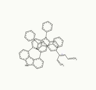 C=C/C=C(\C=C)c1ccc2c(c1)c1cc(-c3cccc4[nH]c5cccc(-c6cc(-c7ccccc7)nc(-c7ccccc7)n6)c5c34)ccc1n2-c1ccccc1